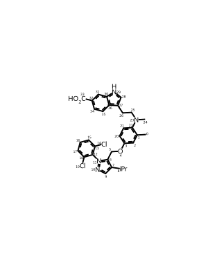 Cc1cc(OCc2c(C(C)C)cnn2-c2c(Cl)cccc2Cl)ccc1N(C)CCc1c[nH]c2cc(C(=O)O)ccc12